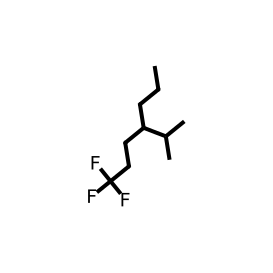 CCCC(CCC(F)(F)F)C(C)C